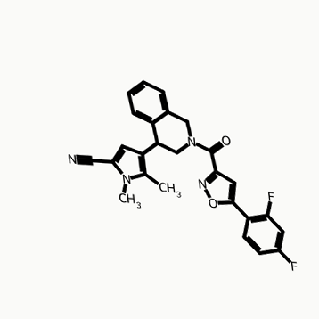 Cc1c(C2CN(C(=O)c3cc(-c4ccc(F)cc4F)on3)Cc3ccccc32)cc(C#N)n1C